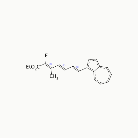 CCOC(=O)/C(F)=C(C)/C=C/C=C/c1ccc2cccccc1-2